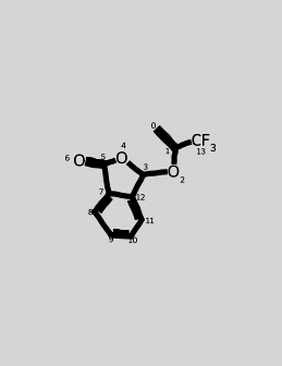 C=C(OC1OC(=O)c2ccccc21)C(F)(F)F